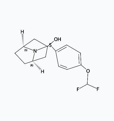 OC1C[C@H]2CC[C@@H](C1)N2Sc1ccc(OC(F)F)cc1